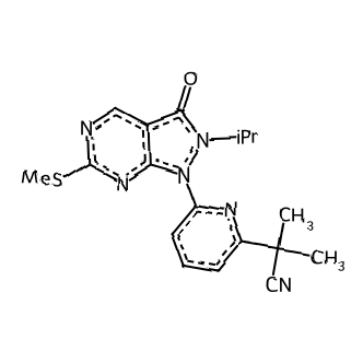 CSc1ncc2c(=O)n(C(C)C)n(-c3cccc(C(C)(C)C#N)n3)c2n1